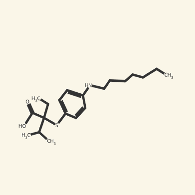 CCCCCCCNc1ccc(SC(CC)(C(=O)O)C(C)C)cc1